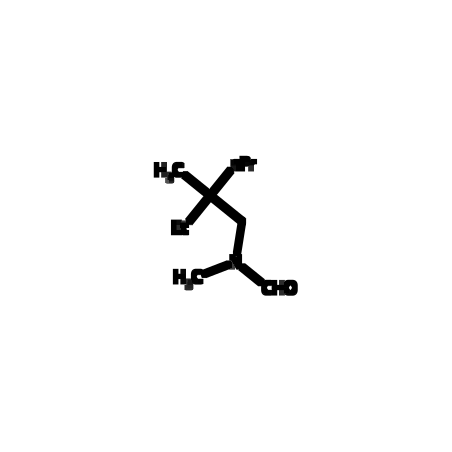 CCCC(C)(CC)CN(C)C=O